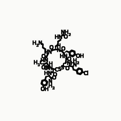 C[C@@H](O)[C@@H]1NC(=O)[C@H](CCCCN)NC(=O)[C@@H](CCCCNC(N)=O)NC(=O)[C@H](Cc2ccc(O)cc2)NC(=O)[C@H](NC(=O)[C@@H](N)Cc2ccc(Cl)cc2)CSSC[C@@H](C(=O)N[C@H](Cc2ccc(O)cc2)C(N)=O)NC1=O